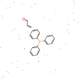 C=CC=O.c1ccc(P(c2ccccc2)c2ccccc2)cc1